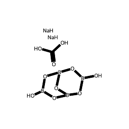 O=C(O)O.OB1OB2OB(O)OB(O1)O2.[NaH].[NaH]